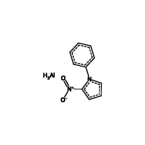 O=[N+]([O-])c1cccn1-c1ccccc1.[AlH3]